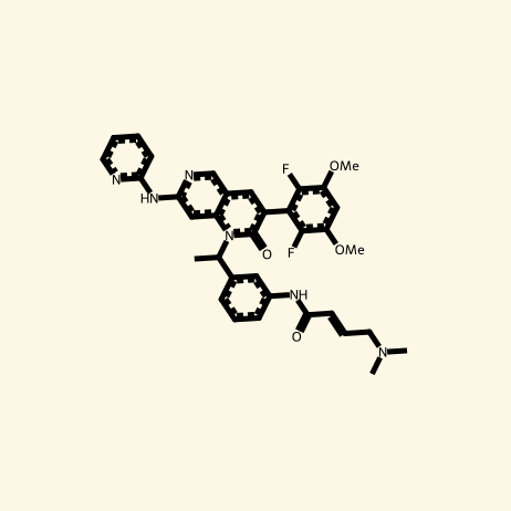 COc1cc(OC)c(F)c(-c2cc3cnc(Nc4ccccn4)cc3n(C(C)c3cccc(NC(=O)/C=C/CN(C)C)c3)c2=O)c1F